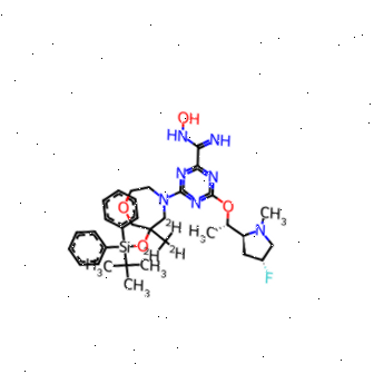 [2H]C([2H])([2H])C1(O[Si](c2ccccc2)(c2ccccc2)C(C)(C)C)COCCN(c2nc(O[C@@H](C)[C@@H]3C[C@@H](F)CN3C)nc(C(=N)NO)n2)C1